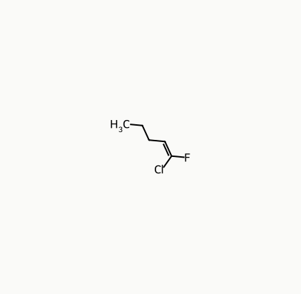 CCCC=C(F)Cl